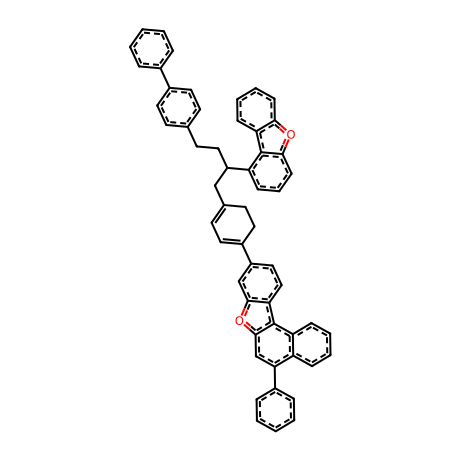 C1=C(CC(CCc2ccc(-c3ccccc3)cc2)c2cccc3oc4ccccc4c23)CCC(c2ccc3c(c2)oc2cc(-c4ccccc4)c4ccccc4c23)=C1